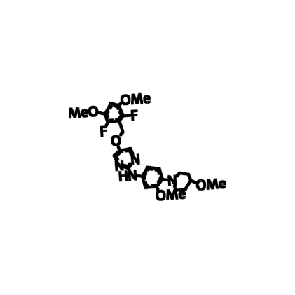 COc1cc(Nc2ncc(OCc3c(F)c(OC)cc(OC)c3F)cn2)ccc1N1CCC(OC)CC1